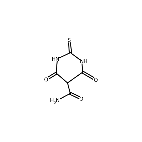 NC(=O)C1C(=O)NC(=S)NC1=O